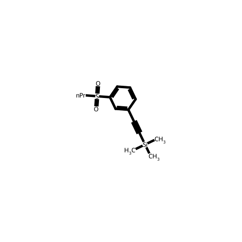 CCCS(=O)(=O)c1cccc(C#C[Si](C)(C)C)c1